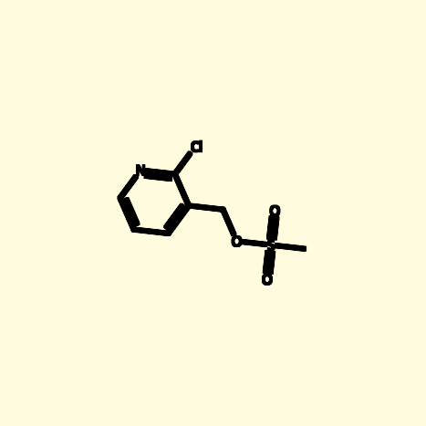 CS(=O)(=O)OCc1cccnc1Cl